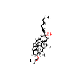 CCCCC#CC1(O)CC[C@@]2(C)C(CC[C@@H]3[C@H]2CC[C@]2(C)C(OC)CC[C@@H]32)C1